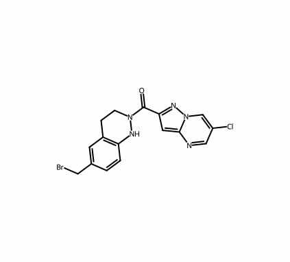 O=C(c1cc2ncc(Cl)cn2n1)N1CCc2cc(CBr)ccc2N1